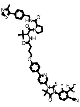 Cc1ncsc1-c1ccc(CNC(=O)C2CCCN2C(=O)[C@@H](NC(=O)CCCOc2ccc(-c3ccc(N4C(=S)N(c5ccc(C#N)c(C(F)(F)F)c5F)C(=O)C4(C)C)cn3)cc2)C(C)(C)C)cc1